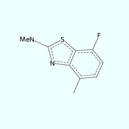 CNc1nc2c(C)ccc(F)c2s1